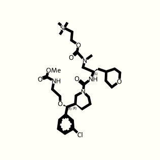 COC(=O)NCCO[C@@H](c1cccc(Cl)c1)[C@@H]1CCCN(C(=O)N[C@@H](CC2CCOCC2)CN(C)C(=O)OCC[Si](C)(C)C)C1